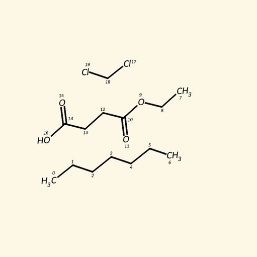 CCCCCCC.CCOC(=O)CCC(=O)O.ClCCl